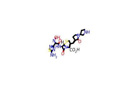 Nc1nc(/C(=N/O)C(=O)N[C@@H]2C(=O)N3C(C(=O)O)=C(/C=C4\CCN([C@H]5CCNC5)C4=O)CS[C@H]23)ns1